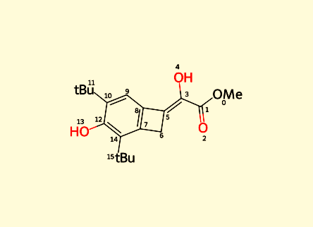 COC(=O)C(O)=C1Cc2c1cc(C(C)(C)C)c(O)c2C(C)(C)C